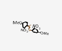 COc1ccc(SSc2ccc(OC)cc2[N+](=O)[O-])c([N+](=O)[O-])c1